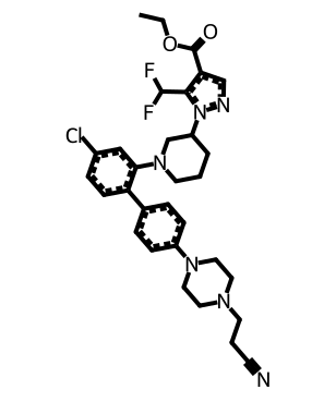 CCOC(=O)c1cnn(C2CCCN(c3cc(Cl)ccc3-c3ccc(N4CCN(CCC#N)CC4)cc3)C2)c1C(F)F